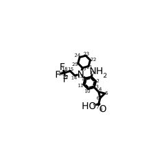 Nc1cc(C2CC2C(=O)O)ccc1N(CCC(F)(F)F)C1CCCCC1